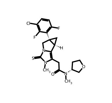 CN(C(=O)Cc1c2n(c(=S)n1C)C[C@@]1(c3c(F)ccc(Cl)c3F)C[C@@H]21)[C@@H]1CCOC1